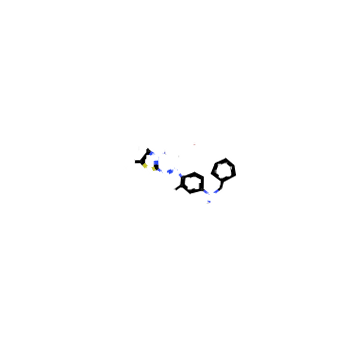 CCN(Cc1ccccc1)c1ccc(/N=N/c2sc(C)c(C)[n+]2C)c(C)c1.[Br-]